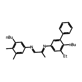 CCCCc1cc(N=CC(C)=Nc2cc(CC)c(CCCC)c(-c3ccccc3)c2)cc(C)c1C